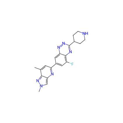 Cc1cc(-c2cc(F)c3nc(C4CCNCC4)nnc3c2)nc2cn(C)nc12